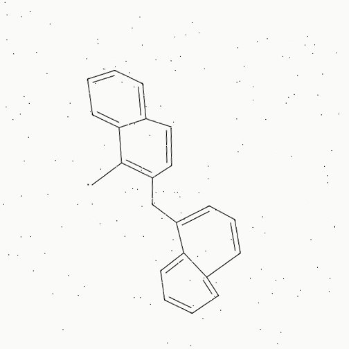 [CH2]c1c(Cc2cccc3ccccc23)ccc2ccccc12